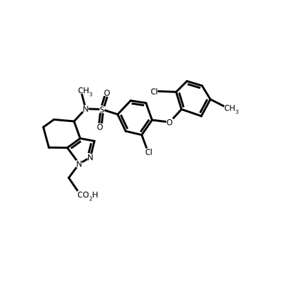 Cc1ccc(Cl)c(Oc2ccc(S(=O)(=O)N(C)C3CCCc4c3cnn4CC(=O)O)cc2Cl)c1